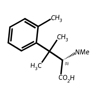 CN[C@H](C(=O)O)C(C)(C)c1ccccc1C